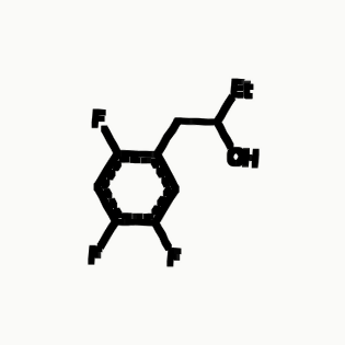 CCC(O)Cc1cc(F)c(F)cc1F